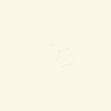 CCOC(=O)CC(C(=O)O)c1ccc(O)c(O)c1